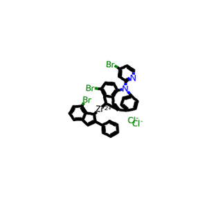 Brc1ccnc(-n2c3ccc(cc3)c3cc4c(c(Br)ccc42)[CH]3[Zr+2][CH]2C(c3ccccc3)=Cc3cccc(Br)c32)c1.[Cl-].[Cl-]